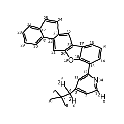 [2H]c1cc(C([2H])([2H])C(C)(C)C)cc(-c2cccc3c2oc2cc4c(ccc5ccccc54)cc23)n1